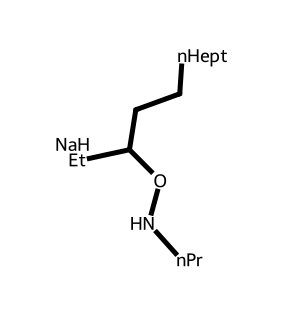 CCCCCCCCCC(CC)ONCCC.[NaH]